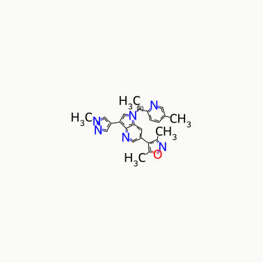 Cc1ccc([C@@H](C)n2cc(-c3cnn(C)c3)c3ncc(-c4c(C)noc4C)cc32)nc1